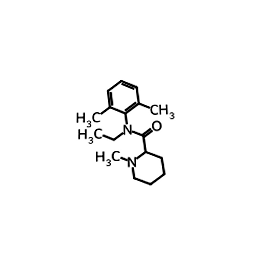 CCN(C(=O)C1CCCCN1C)c1c(C)cccc1C